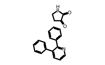 O=C1BCCC1=O.c1ccc(-c2cccnc2-c2ccccc2)cc1